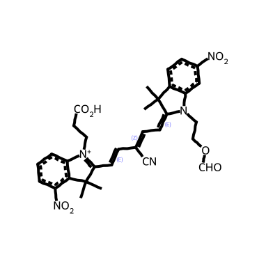 CC1(C)C(/C=C/C(C#N)=C/C=C2/N(CCOC=O)c3cc([N+](=O)[O-])ccc3C2(C)C)=[N+](CCC(=O)O)c2cccc([N+](=O)[O-])c21